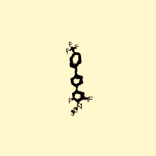 Fc1cc(-c2ccc(-c3ccc(C(F)(F)F)cc3)cc2)cc(F)c1N=C=S